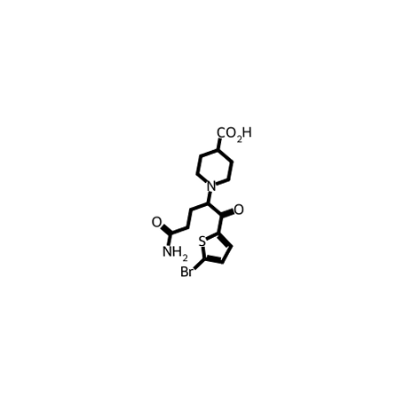 NC(=O)CCC(C(=O)c1ccc(Br)s1)N1CCC(C(=O)O)CC1